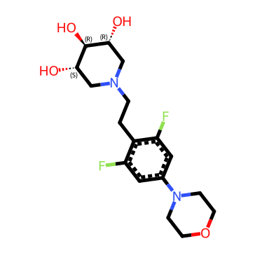 O[C@H]1[C@H](O)CN(CCc2c(F)cc(N3CCOCC3)cc2F)C[C@@H]1O